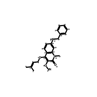 CC(C)=CCOc1c(OC(C)C)c(=O)n(C)c2cc(NCc3ccccc3)ccc12